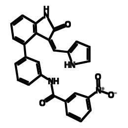 O=C1Nc2cccc(-c3cccc(NC(=O)c4cccc([N+](=O)[O-])c4)c3)c2C1=Cc1ccc[nH]1